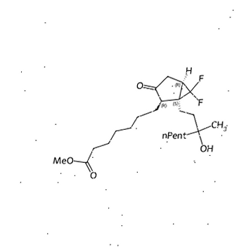 CCCCCC(C)(O)CC[C@]12[C@@H](CCCCCCC(=O)OC)C(=O)C[C@H]1C2(F)F